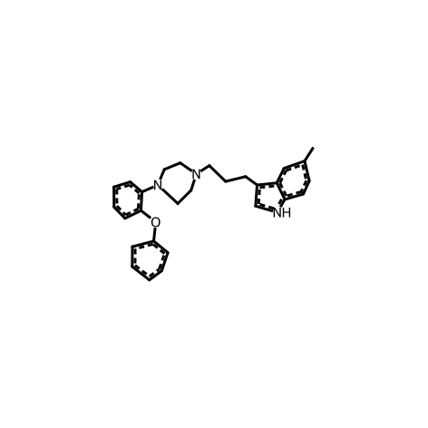 Cc1ccc2[nH]cc(CCCN3CCN(c4ccccc4Oc4ccccc4)CC3)c2c1